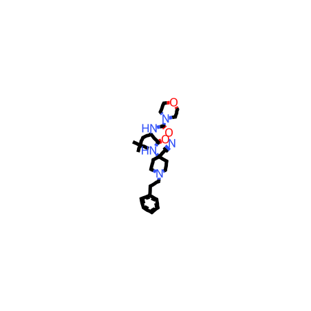 CC(C)(C)CC(NC(=O)N1CCOCC1)C(=O)NC1(C#N)CCN(CCc2ccccc2)CC1